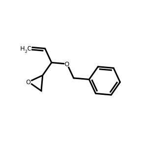 C=CC(OCc1ccccc1)C1CO1